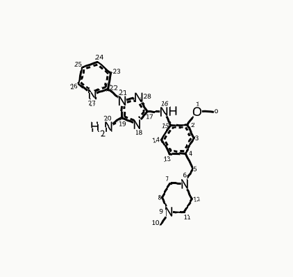 COc1cc(CN2CCN(C)CC2)ccc1Nc1nc(N)n(-c2ccccn2)n1